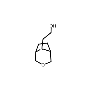 OCCN1C2CCC1COC2